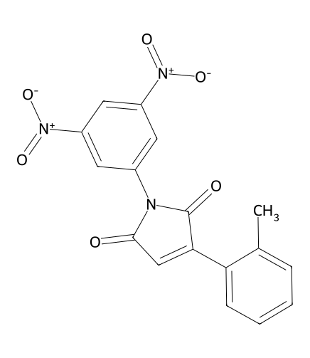 Cc1ccccc1C1=CC(=O)N(c2cc([N+](=O)[O-])cc([N+](=O)[O-])c2)C1=O